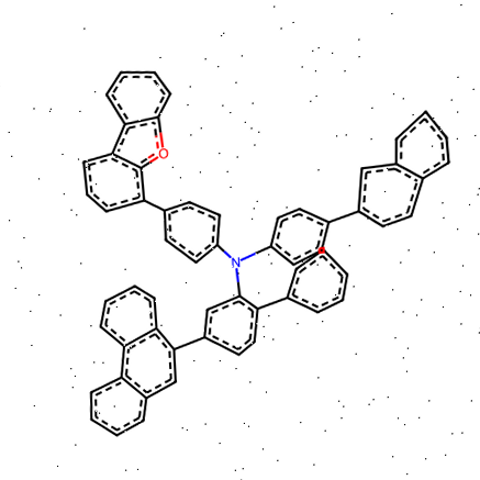 c1ccc(-c2ccc(-c3cc4ccccc4c4ccccc34)cc2N(c2ccc(-c3ccc4ccccc4c3)cc2)c2ccc(-c3cccc4c3oc3ccccc34)cc2)cc1